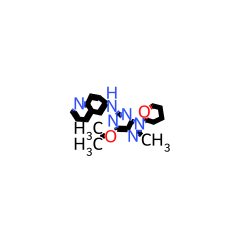 Cc1nc2c(OC(C)C)nc(Nc3ccc4ncccc4c3)nc2n1C1CCCCO1